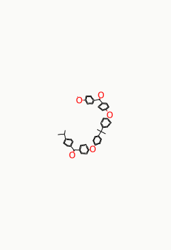 COc1ccc(C(=O)c2ccc(Oc3ccc(C(C)(C)c4ccc(Oc5ccc(C(=O)c6ccc(C(C)C)cc6)cc5)cc4)cc3)cc2)cc1